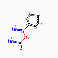 CC(=N)OC(=N)c1ccccc1